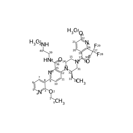 CCOc1ncccc1-c1ccc(N2CCN(C(=O)c3ccc(OC)nc3C(F)(F)F)C[C@H]2CC)c(C(=O)NCCNC)n1